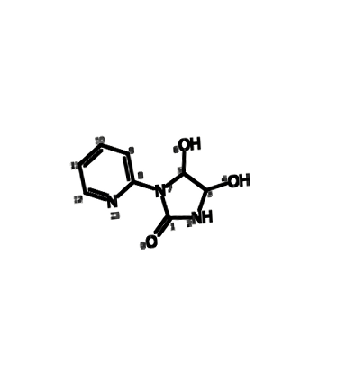 O=C1NC(O)C(O)N1c1ccccn1